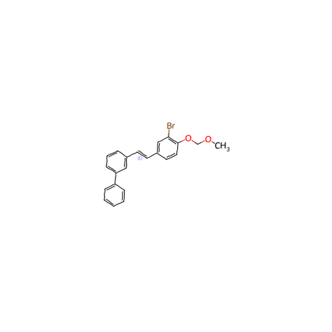 COCOc1ccc(/C=C/c2cccc(-c3ccccc3)c2)cc1Br